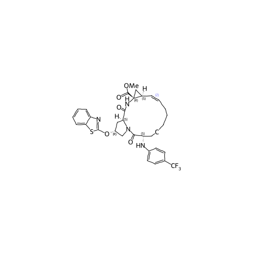 COC(=O)[C@@]12C[C@H]1/C=C\CCCCC[C@H](Nc1ccc(C(F)(F)F)cc1)C(=O)N1C[C@H](Oc3nc4ccccc4s3)C[C@H]1C(=O)N2